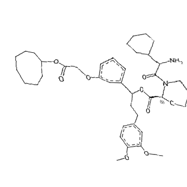 COc1ccc(CCC(OC(=O)[C@@H]2CCCCN2C(=O)C(N)C2CCCCC2)c2cccc(OCC(=O)OC3CCCCCCC3)c2)cc1OC